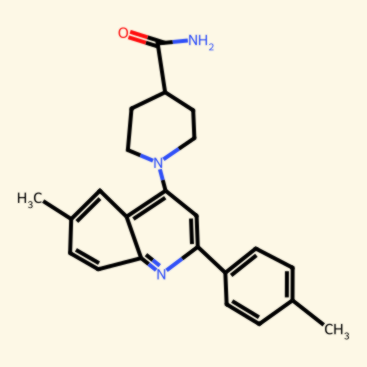 Cc1ccc(-c2cc(N3CCC(C(N)=O)CC3)c3cc(C)ccc3n2)cc1